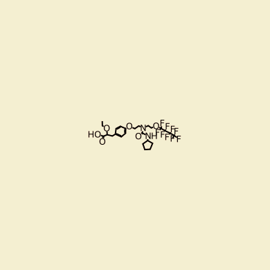 CCOC(Cc1ccc(OCCN(CCOC(F)(F)C(F)(F)C(F)(F)C(F)(F)F)C(=O)NC2CCCC2)cc1)C(=O)O